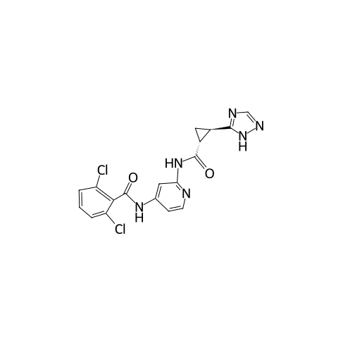 O=C(Nc1ccnc(NC(=O)[C@@H]2C[C@H]2c2ncn[nH]2)c1)c1c(Cl)cccc1Cl